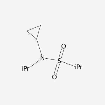 CC(C)N(C1CC1)S(=O)(=O)C(C)C